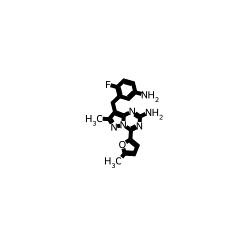 Cc1ccc(-c2nc(N)nc3c(Cc4cc(N)ccc4F)c(C)nn23)o1